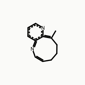 C\C1=c2/nccc/c2=N/C=C\CCC1